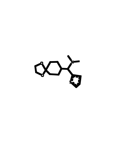 CN(C)C(c1cccs1)C1CCC2(CC1)OCCO2